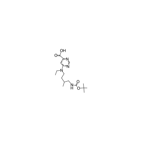 CCN(CCC(C)CNC(=O)OC(C)(C)C)c1cc(C(=O)O)ncn1